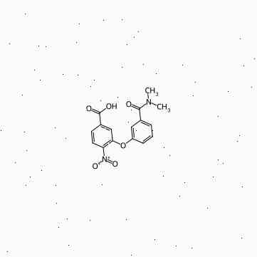 CN(C)C(=O)c1cccc(Oc2cc(C(=O)O)ccc2[N+](=O)[O-])c1